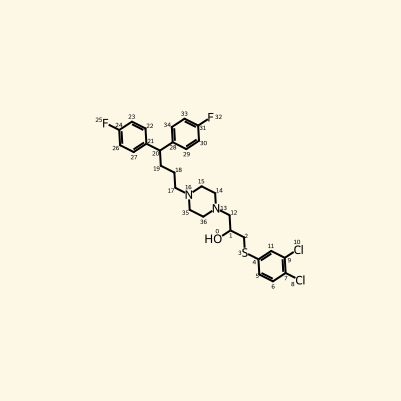 OC(CSc1ccc(Cl)c(Cl)c1)CN1CCN(CCCC(c2ccc(F)cc2)c2ccc(F)cc2)CC1